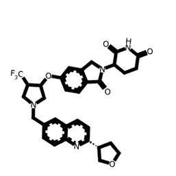 O=C1CCC(N2Cc3cc(OC4CN(Cc5ccc6nc([C@@H]7CCOC7)ccc6c5)CC4C(F)(F)F)ccc3C2=O)C(=O)N1